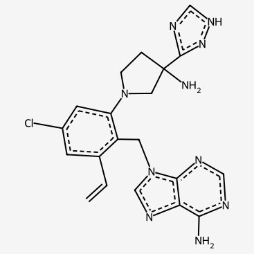 C=Cc1cc(Cl)cc(N2CCC(N)(c3nc[nH]n3)C2)c1Cn1cnc2c(N)ncnc21